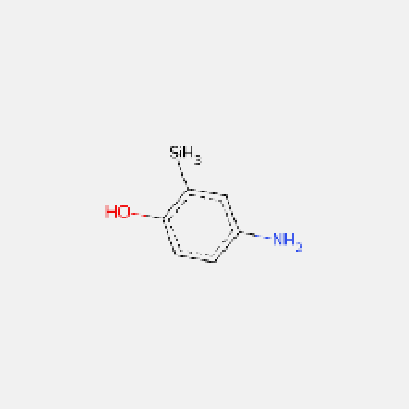 Nc1ccc(O)c([SiH3])c1